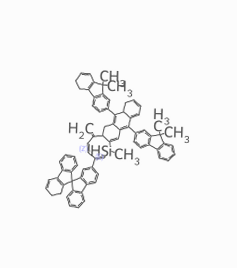 C=C1/C=C\C(c2ccc3c(c2)C2(C4=C(C=CCC4)c4ccccc42)c2ccccc2-3)=C/[SiH](C)C2=CC3=C(c4ccc5c(c4)C(C)(C)c4ccccc4-5)C4=CC=CCC4C(c4ccc5c(c4)C(C)(C)C4=C5CCC=C4)=C3CC12